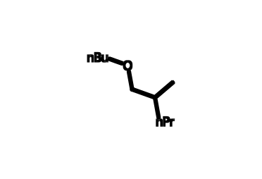 [CH2]CCC(C)COCCCC